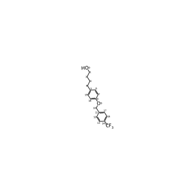 OCCCCc1ccc(OCc2ccc(C(F)(F)F)cc2)cc1